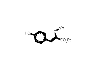 CCCO/C(=C\c1ccc(O)cc1)C(=O)OCC